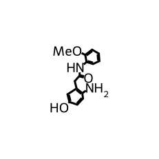 COc1ccccc1NC(=O)Cc1cc(O)ccc1N